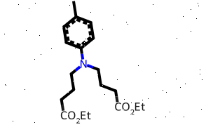 CCOC(=O)CCCN(CCCC(=O)OCC)c1ccc(C)cc1